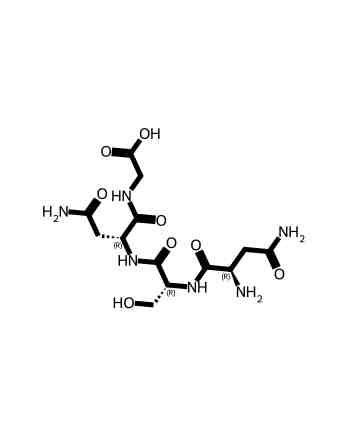 NC(=O)C[C@@H](N)C(=O)N[C@H](CO)C(=O)N[C@H](CC(N)=O)C(=O)NCC(=O)O